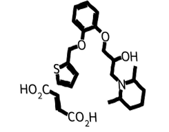 CC1CCCC(C)N1CC(O)COc1ccccc1OCc1cccs1.O=C(O)C=CC(=O)O